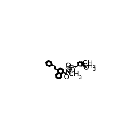 CN(OS(=O)(=O)CCC1CC2CC(=O)C1C2(C)C)C(=O)c1ccc(/C=C/c2ccccc2)c2ccccc12